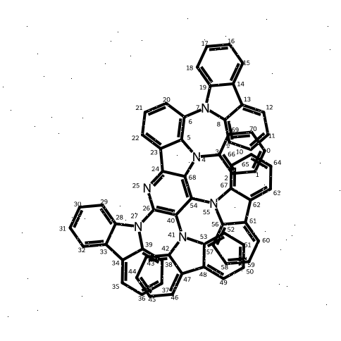 c1ccc(-n2c3c(-n4c5ccccc5c5ccccc54)cccc3c3nc(-n4c5ccccc5c5ccccc54)c(-n4c5ccccc5c5ccccc54)c(-n4c5ccccc5c5ccccc54)c32)cc1